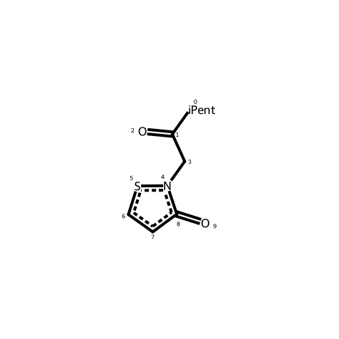 CCCC(C)C(=O)Cn1sccc1=O